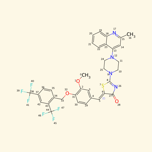 COc1cc(/C=C2\SC(N3CCN(c4cc(C)nc5ccccc45)CC3)=NC2=O)ccc1OCc1ccc(C(F)(F)F)cc1C(F)(F)F